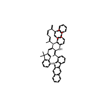 C=C(/C=C\C=C(/C)N1C(=C/C2=Cc3ccccc3C2(C)C)/C(=C(\C)c2cccc3c2[nH]c2cc4ccccc4cc23)Bc2ccc(-c3ccccc3)cc21)c1ccccc1C